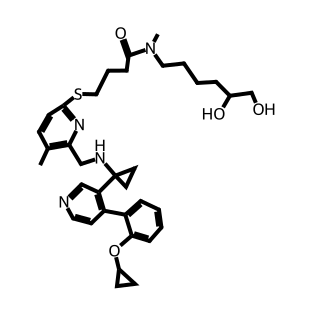 Cc1ccc(SCCCC(=O)N(C)CCCCC(O)CO)nc1CNC1(c2cnccc2-c2ccccc2OC2CC2)CC1